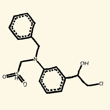 O=[SH](=O)CN(Cc1ccccc1)c1cccc(C(O)CCl)c1